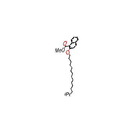 COC(=O)c1c(OCCCCCCCCCCCCCC(C)C)ccc2ccccc12